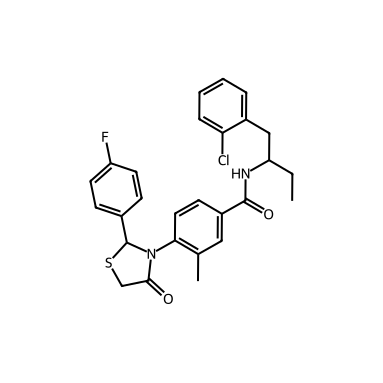 CCC(Cc1ccccc1Cl)NC(=O)c1ccc(N2C(=O)CSC2c2ccc(F)cc2)c(C)c1